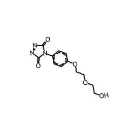 O=C1N=NC(=O)N1c1ccc(OCCOCCO)cc1